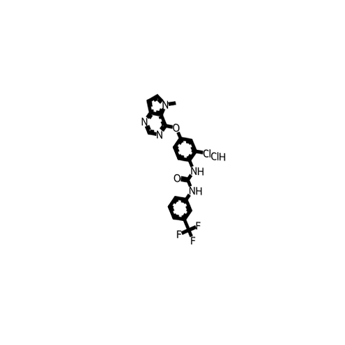 Cl.Cn1ccc2ncnc(Oc3ccc(NC(=O)Nc4cccc(C(F)(F)F)c4)c(Cl)c3)c21